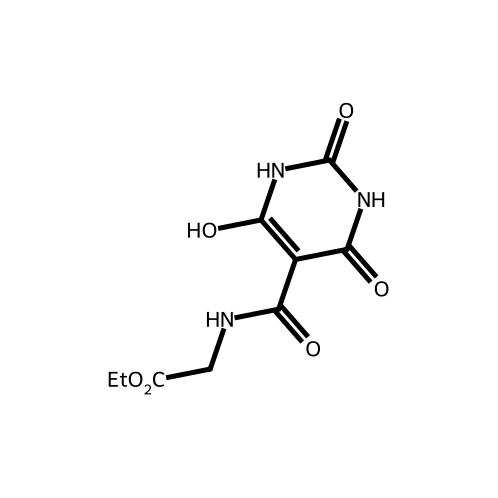 CCOC(=O)CNC(=O)c1c(O)[nH]c(=O)[nH]c1=O